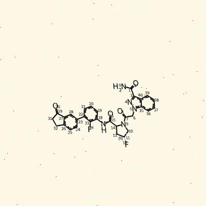 NC(=O)c1nn(CC(=O)N2C[C@H](F)CC2C(=O)Nc2cccc(-c3ccc4c(c3)C(=O)CC4)c2F)c2ccccc12